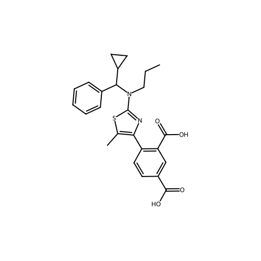 CCCN(c1nc(-c2ccc(C(=O)O)cc2C(=O)O)c(C)s1)C(c1ccccc1)C1CC1